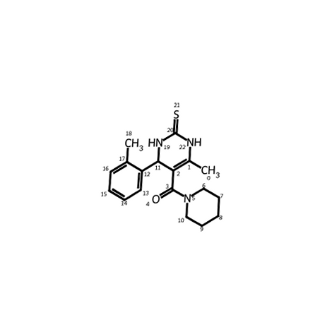 CC1=C(C(=O)N2CCCCC2)C(c2ccccc2C)NC(=S)N1